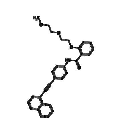 COCCOCCOc1ccccc1C(=O)Nc1ccc(C#Cc2cccc3ccccc23)cc1